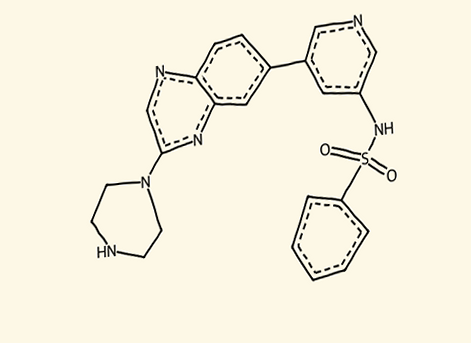 O=S(=O)(Nc1cncc(-c2ccc3ncc(N4CCNCC4)nc3c2)c1)c1ccccc1